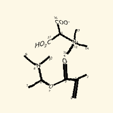 C=C(C)C(=O)OC(C)N(C)C.C[N+](C)(C)C(C(=O)[O-])C(=O)O